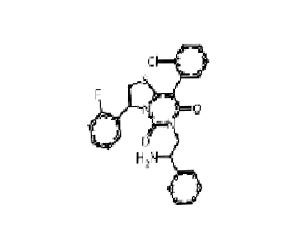 NC(Cn1c(=O)c(-c2ccccc2Cl)c2n(c1=O)C(c1ccccc1F)CS2)c1ccccc1